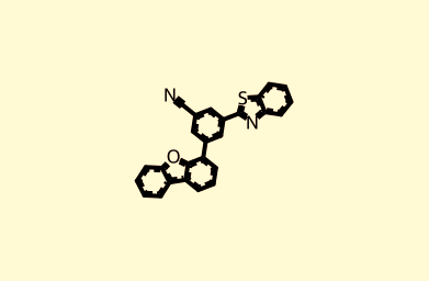 N#Cc1cc(-c2nc3ccccc3s2)cc(-c2cccc3c2oc2ccccc23)c1